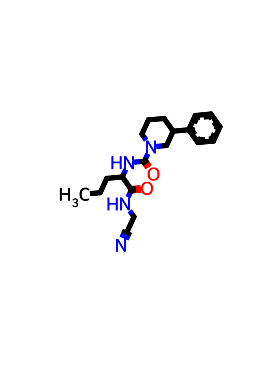 CCCC(NC(=O)N1CCCC(c2ccccc2)C1)C(=O)NCC#N